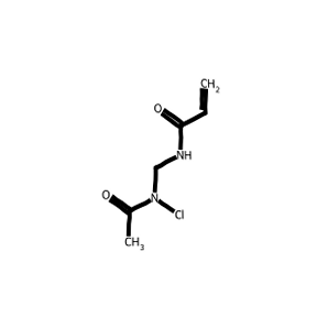 C=CC(=O)NCN(Cl)C(C)=O